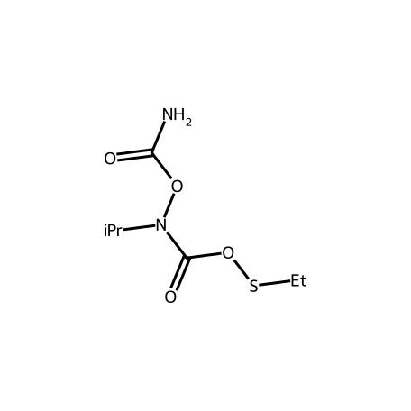 CCSOC(=O)N(OC(N)=O)C(C)C